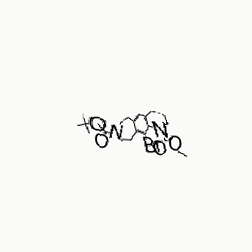 CCOC(=O)N1CCCc2cc3c(c(Br)c21)CCN(C(=O)OC(C)(C)C)CC3